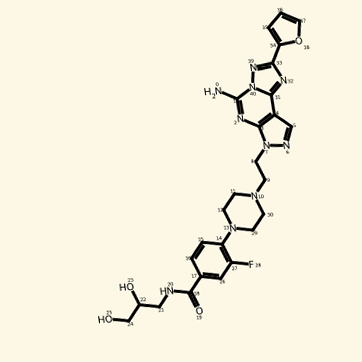 Nc1nc2c(cnn2CCN2CCN(c3ccc(C(=O)NCC(O)CO)cc3F)CC2)c2nc(-c3ccco3)nn12